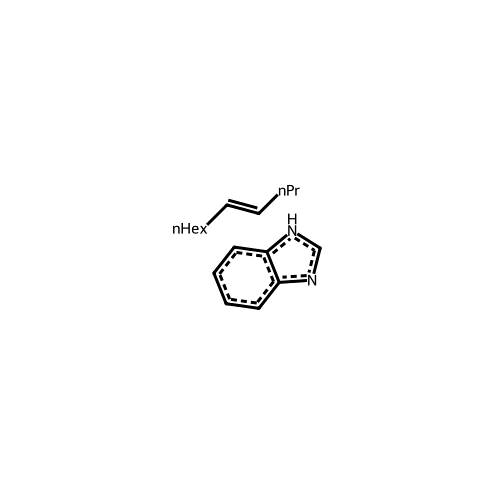 CCCC=CCCCCCC.c1ccc2[nH]cnc2c1